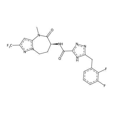 CN1C(=O)[C@@H](NC(=O)c2nnc(Cc3cccc(F)c3F)[nH]2)CCn2nc(C(F)(F)F)cc21